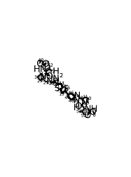 COC(=O)N[C@@H](C(=O)N1CCCC1c1nc2cc(-c3cc4sc(/C(N)=C/NC[C@H]5CCCN5C(=O)[C@H](NC(=O)OC)C(C)C)cc4s3)ccc2[nH]1)C(C)C